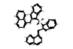 [CH3][Hf]([CH3])([CH]1C(Cc2cccc3ccccc23)=Cc2ccccc21)[CH]1C(Cc2cccc3ccccc23)=Cc2ccccc21